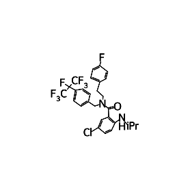 CC(C)Nc1ccc(Cl)cc1C(=O)N(CCc1ccc(F)cc1)Cc1ccc(C(F)(C(F)(F)F)C(F)(F)F)cc1